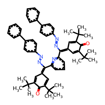 CC(C)(C)C1=CC(=C(/N=N/c2ccc(-c3ccccc3)cc2)c2cccc(C(/N=N/c3ccc(-c4ccccc4)cc3)=C3C=C(C(C)(C)C)C(=O)C(C(C)(C)C)=C3)n2)C=C(C(C)(C)C)C1=O